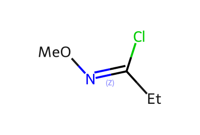 CC/C(Cl)=N/OC